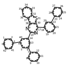 c1ccc(-c2cc(-c3ccccc3)cc(-c3nc(-c4cccc(-c5ccccc5)c4)c4sc5ccccc5c4n3)c2)cc1